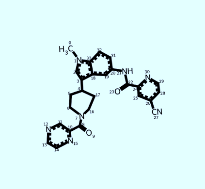 Cn1cc(C2CCN(C(=O)c3cnccn3)CC2)c2cc(NC(=O)c3cc(C#N)ccn3)ccc21